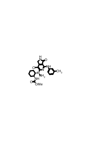 COC(=O)N[C@H]1CCCC[C@H]1N(N)c1nc(Nc2cccc(C)c2)c2c(c1Cl)CNC2=O